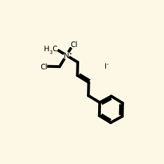 C[N+](Cl)(CCl)CC=CCc1ccccc1.[I-]